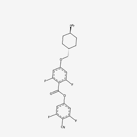 CCC[C@H]1CC[C@H](COc2cc(F)c(C(=O)Oc3cc(F)c(C#N)c(F)c3)c(F)c2)CC1